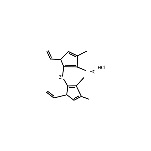 C=CC1C=C(C)C(C)=[C]1[Zr][C]1=C(C)C(C)=CC1C=C.Cl.Cl